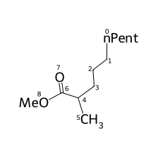 CCCCCCCCC(C)C(=O)OC